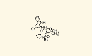 CCN(C(=O)CN1CC(C)(C)OC[C@H]1C(=O)Nc1cc(Cl)cc2c1[nH]c1cnccc12)C1CCCCC1